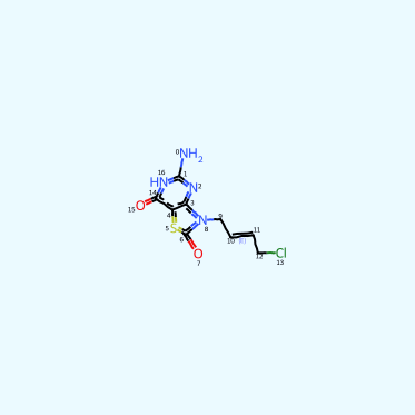 Nc1nc2c(sc(=O)n2C/C=C/CCl)c(=O)[nH]1